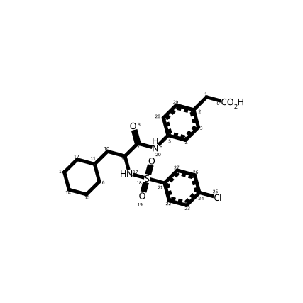 O=C(O)Cc1ccc(NC(=O)C(CC2CCCCC2)NS(=O)(=O)c2ccc(Cl)cc2)cc1